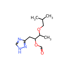 CC(C)COC(C)C(Cc1nc[nH]n1)OC=O